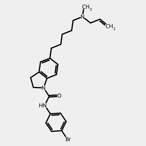 C=CCN(C)CCCCCc1ccc2c(c1)CCN2C(=O)Nc1ccc(Br)cc1